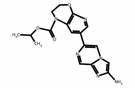 CC(C)OC(=O)N1CCOc2ncc(-c3cn4cc(N)nc4cn3)cc21